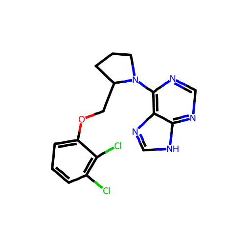 Clc1cccc(OCC2CCCN2c2ncnc3[nH]cnc23)c1Cl